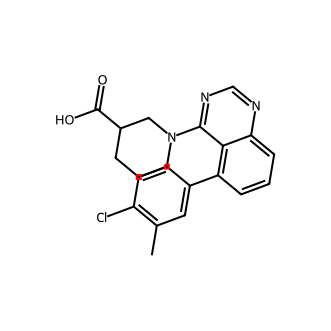 Cc1cc(-c2cccc3ncnc(N4CCCC(C(=O)O)C4)c23)ccc1Cl